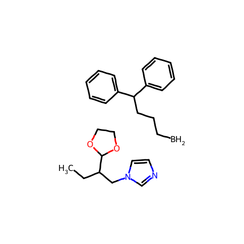 BCCCC(c1ccccc1)c1ccccc1.CCC(Cn1ccnc1)C1OCCO1